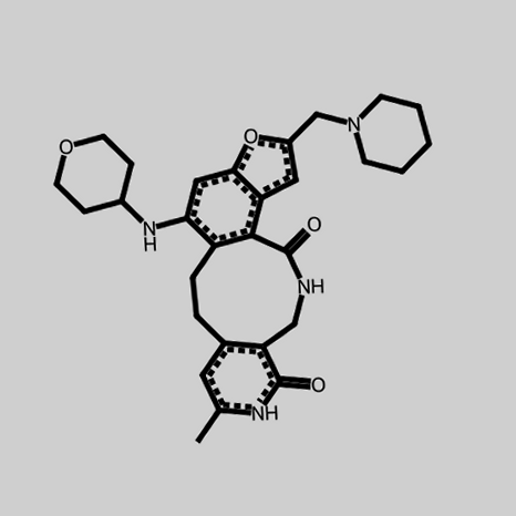 Cc1cc2c(c(=O)[nH]1)CNC(=O)c1c(c(NC3CCOCC3)cc3oc(CN4CCCCC4)cc13)CC2